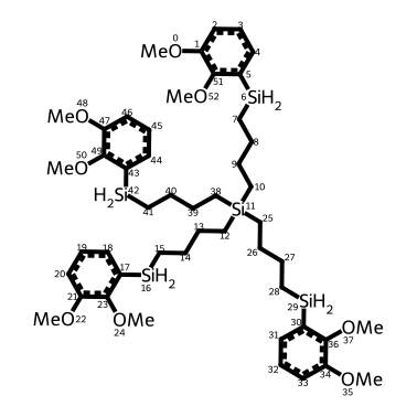 COc1cccc([SiH2]CCCC[Si](CCCC[SiH2]c2cccc(OC)c2OC)(CCCC[SiH2]c2cccc(OC)c2OC)CCCC[SiH2]c2cccc(OC)c2OC)c1OC